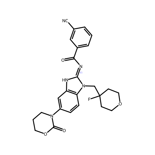 N#Cc1cccc(C(=O)/N=c2\[nH]c3cc(N4CCCOC4=O)ccc3n2CC2(F)CCOCC2)c1